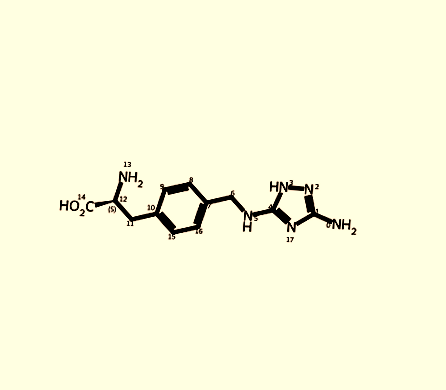 Nc1n[nH]c(NCc2ccc(C[C@H](N)C(=O)O)cc2)n1